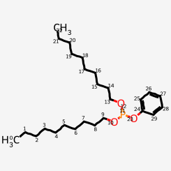 CCCCCCCCCCOP(OCCCCCCCCCC)Oc1ccccc1